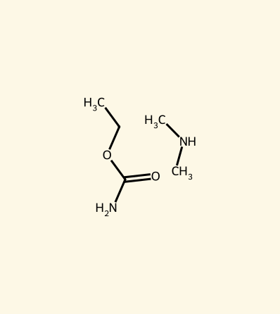 CCOC(N)=O.CNC